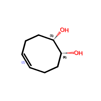 O[C@@H]1CC/C=C\CC[C@@H]1O